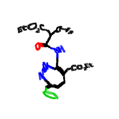 CCOC(=O)c1cc(Cl)nnc1NC(=O)C(C)C(=O)OCC